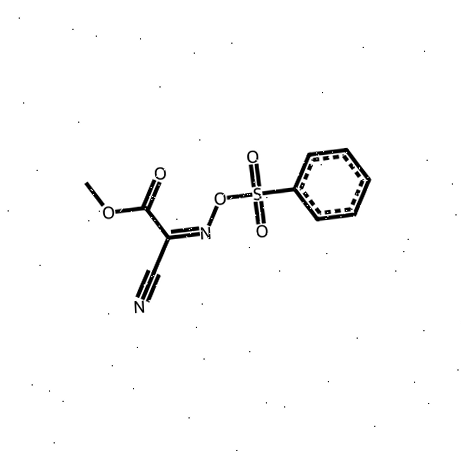 COC(=O)C(C#N)=NOS(=O)(=O)c1ccccc1